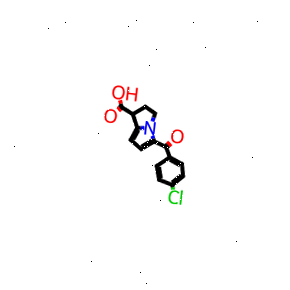 O=C(c1ccc(Cl)cc1)c1ccc2n1CCC2C(=O)O